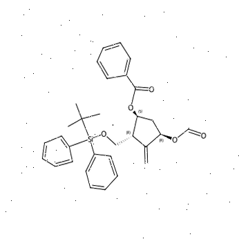 C=C1[C@H](OC=O)C[C@H](OC(=O)c2ccccc2)[C@H]1CO[Si](c1ccccc1)(c1ccccc1)C(C)(C)C